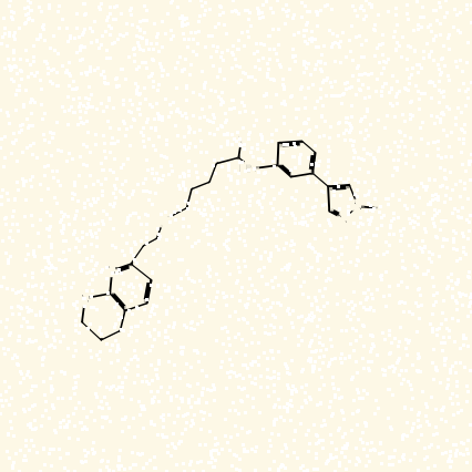 Cn1cc(-c2cccc(NC(CCCCOCCc3ccc4c(n3)NCCC4)C(=O)O)c2)cn1